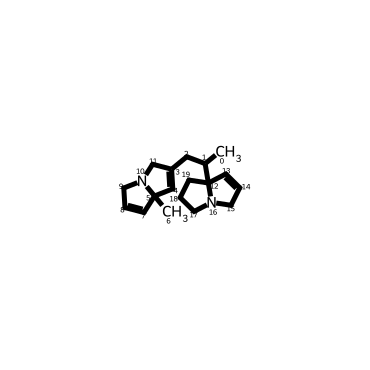 CC(CC1=CC2(C)C=CCN2C1)C12C=CCN1CCC2